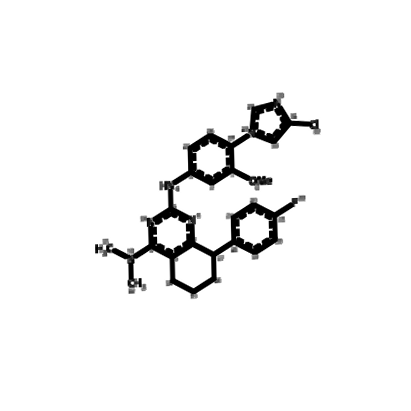 COc1cc(Nc2nc3c(c(N(C)C)n2)CCCC3c2ccc(F)cc2)ccc1-n1cnc(Cl)c1